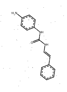 Nc1ccc(NC(=O)NC=Cc2ccccc2)cc1